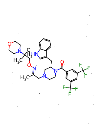 CC(CN1CCN(C(=O)c2cc(C(F)(F)F)cc(C(F)(F)F)c2)[C@H](Cc2c[nH]c3ccccc23)C1)=NOCC(C)(C)N1CCOCC1